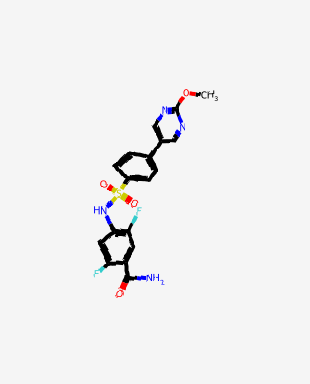 COc1ncc(-c2ccc(S(=O)(=O)Nc3cc(F)c(C(N)=O)cc3F)cc2)cn1